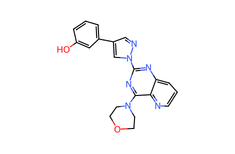 Oc1cccc(-c2cnn(-c3nc(N4CCOCC4)c4ncccc4n3)c2)c1